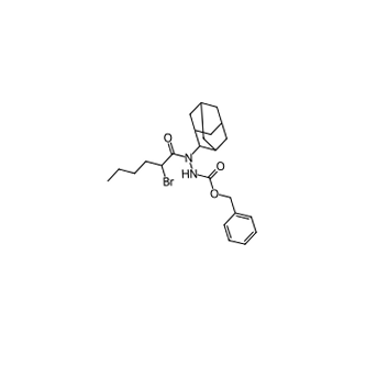 CCCCC(Br)C(=O)N(NC(=O)OCc1ccccc1)C1C2CC3CC(C2)CC1C3